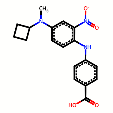 CN(c1ccc(Nc2ccc(C(=O)O)cc2)c([N+](=O)[O-])c1)C1CCC1